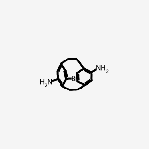 Nc1cc2ccc1CCc1cc(N)c(c(Br)c1)CC2